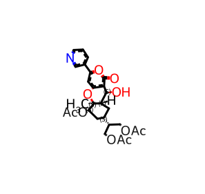 CC(=O)OCC(COC(C)=O)[C@@H]1C[C@H](OC(C)=O)[C@@]2(C)Oc3cc(-c4cccnc4)oc(=O)c3[C@@H](O)[C@@H]2C1